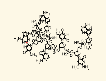 CC[C@H]1O[C@@H](n2cnc3c(N)ncnc32)CC1OP(=O)(S)OC[C@H]1O[C@@H](n2cc(C)c(N)nc2=O)CC1OP(=O)(S)OC[C@H]1O[C@@H](n2cc(C)c(=O)[nH]c2=O)CC1OP(=O)(S)OC[C@H]1O[C@@H](n2cnc3c(N)ncnc32)CC1OP(=O)(S)OC[C@H]1O[C@@H](n2cnc3c(N)ncnc32)CC1OP(=O)(S)OC[C@H]1O[C@@H](n2cc(C)c(=O)[nH]c2=O)CC1OP(=O)(S)OC[C@H]1O[C@@H](n2cnc3c(N)ncnc32)CC1OP(=O)(S)OC